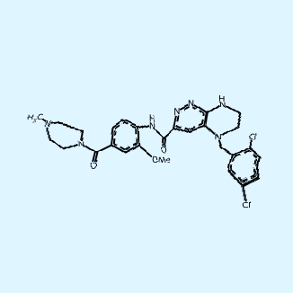 COc1cc(C(=O)N2CCN(C)CC2)ccc1NC(=O)c1cc2c(nn1)NCCN2Cc1cc(Cl)ccc1Cl